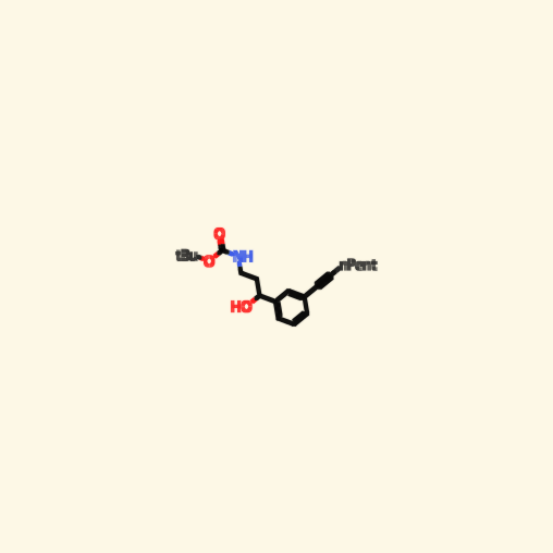 CCCCCC#Cc1cccc(C(O)CCNC(=O)OC(C)(C)C)c1